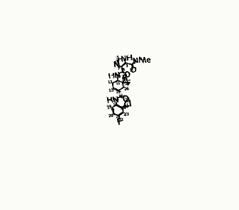 CNC(=O)c1[nH]cnc1C(=O)N[C@@H]1CC[C@@H](C(=O)Nc2ccc(F)cc2Cl)CC1(F)F